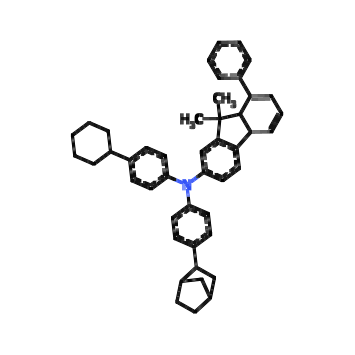 CC1(C)c2cc(N(c3ccc(C4CCCCC4)cc3)c3ccc(C4CC5CCC4C5)cc3)ccc2C2C=CC=C(c3ccccc3)C21